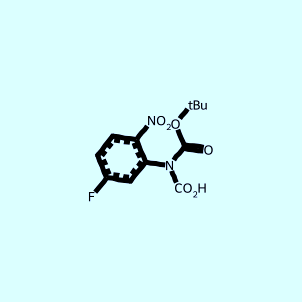 CC(C)(C)OC(=O)N(C(=O)O)c1cc(F)ccc1[N+](=O)[O-]